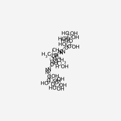 CCC[C@@H](C)[C@H]1CC[C@H]2[C@@H]3[C@H](OCCn4cc(CO[C@@H]5OC(CO)[C@@H](O[C@H]6OC(CO)[C@@H](O)C(O)[C@@H]6O)C(O)[C@@H]5O)nn4)C[C@@H]4C[C@H](O)CC[C@]4(C)[C@H]3C[C@H](OCCn3cc(CO[C@@H]4OC(CO)[C@@H](O[C@H]5OC(CO)[C@@H](O)C(O)[C@@H]5O)[C@H](O)C4O)nn3)[C@]12C